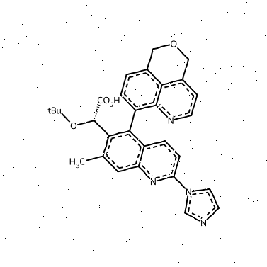 Cc1cc2nc(-n3ccnc3)ccc2c(-c2ccc3c4c(ccnc24)COC3)c1[C@H](OC(C)(C)C)C(=O)O